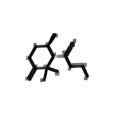 C=C1CC[C@@H](C)[C@H](C(=O)C=CC)C1(C)C